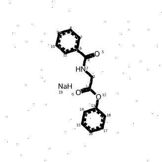 O=C(CNC(=O)c1ccccc1)Oc1ccccc1.[NaH]